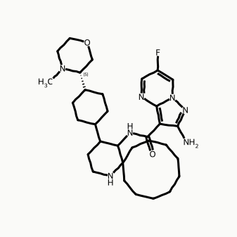 CN1CCOC[C@@H]1C1CCC(C2CCNC3(CCCCCCCCC3)C2NC(=O)c2c(N)nn3cc(F)cnc23)CC1